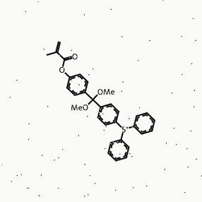 C=C(C)C(=O)Oc1ccc(C(OC)(OC)c2ccc([S+](c3ccccc3)c3ccccc3)cc2)cc1